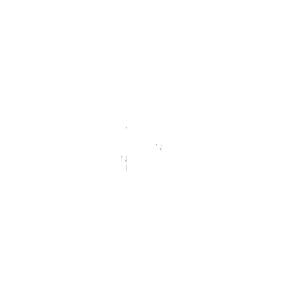 [CH]1CN(C2CCN2)C1